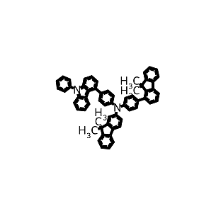 CC1(C)c2ccccc2-c2ccc(N(c3ccc(-c4cccc5c4C(C)(C)c4ccccc4-5)cc3)c3ccc(-c4cccc5c4c4ccccc4n5-c4ccccc4)cc3)cc21